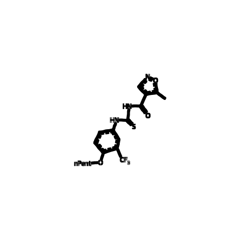 CCCCCOc1ccc(NC(=S)NC(=O)c2cnoc2C)cc1C(F)(F)F